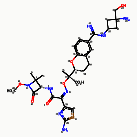 CC1(C)[C@H](NC(=O)/C(=N\O[C@](C)(C(=O)O)[C@H]2CCc3cc(C(=N)NC4CC(N)(CO)C4)ccc3O2)c2csc(N)n2)C(=O)N1OS(=O)(=O)O